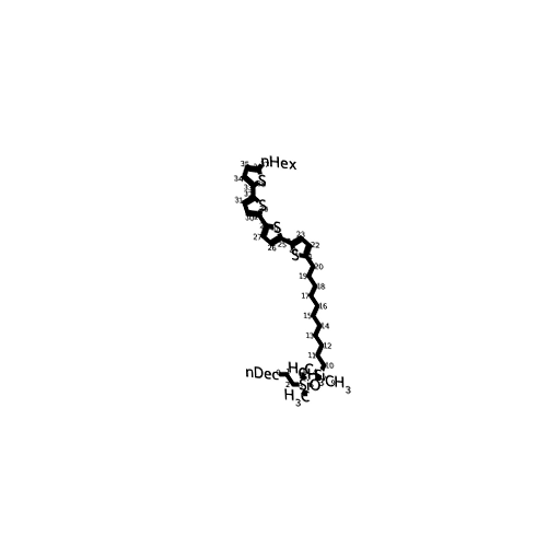 CCCCCCCCCCCC[Si](C)(C)O[Si](C)(C)CCCCCCCCCCCc1ccc(-c2ccc(-c3ccc(-c4ccc(CCCCCC)s4)s3)s2)s1